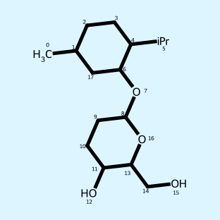 CC1CCC(C(C)C)C(OC2CCC(O)C(CO)O2)C1